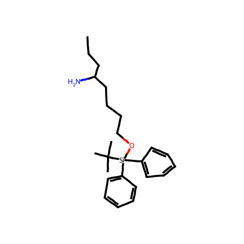 CCCC(N)CCCCO[Si](c1ccccc1)(c1ccccc1)C(C)(C)C